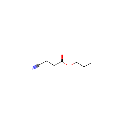 CCCOC(=O)CCC#N